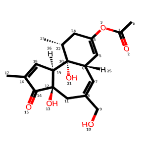 CC(=O)OC1=C[C@@H]2C=C(CO)C[C@]3(O)C(=O)C(C)=C[C@H]3[C@@]2(O)[C@H](C)C1